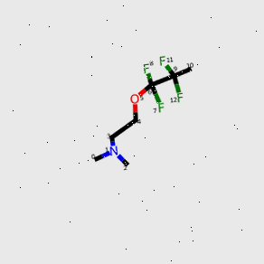 CN(C)CCOC(F)(F)C(C)(F)F